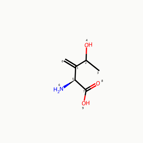 C=C(C(C)O)[C@H](N)C(=O)O